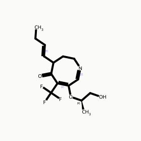 CC/C=C/C1CC/N=C\C(O[C@H](C)CO)=C(\C(F)(F)F)C1=O